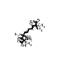 C[C@@](N)(C(=O)O)C(=O)CCCCC(N)(N)C(=O)[C@](C)(N)C(=O)O